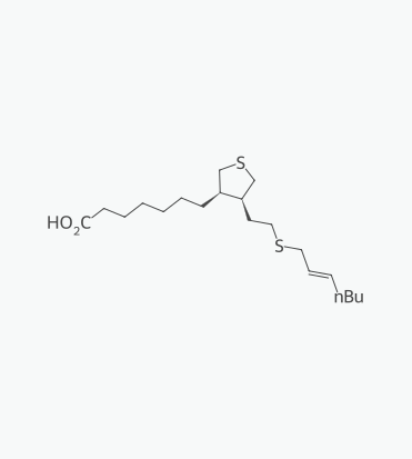 CCCCC=CCSCC[C@@H]1CSC[C@@H]1CCCCCCC(=O)O